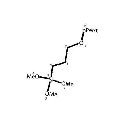 CCCCCOCCC[Si](OC)(OC)OC